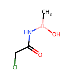 CB(O)NC(=O)CCl